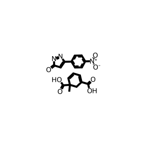 CC1(C(=O)O)C=CC=C(C(=O)O)C1.O=C1C=C(c2ccc([N+](=O)[O-])cc2)N=N1